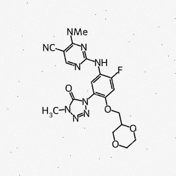 CNc1nc(Nc2cc(-n3nnn(C)c3=O)c(OCC3COCCO3)cc2F)ncc1C#N